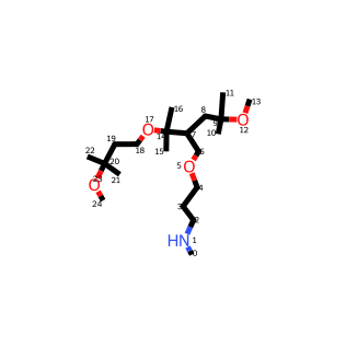 CNCCCOCC(CC(C)(C)OC)C(C)(C)OCCC(C)(C)OC